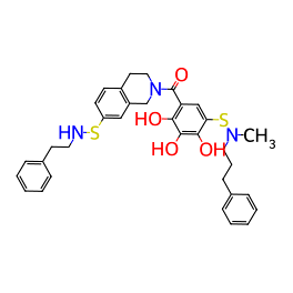 CN(CCCc1ccccc1)Sc1cc(C(=O)N2CCc3ccc(SNCCc4ccccc4)cc3C2)c(O)c(O)c1O